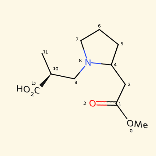 COC(=O)CC1CCCN1C[C@H](C)C(=O)O